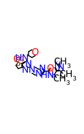 Cc1nn(C)cc1C(C)NC(=O)c1cn2c(n1)CN(c1nc3c(c(NC4CCOCC4)n1)[S+]([O-])CC3)CC2